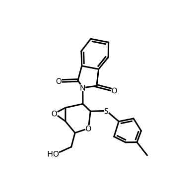 Cc1ccc(SC2OC(CO)C3OC3C2N2C(=O)c3ccccc3C2=O)cc1